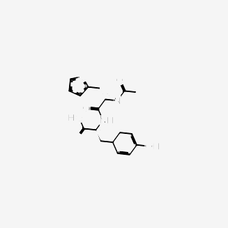 CC(=O)N[C@@H](Cc1ccco1)C(=O)N[C@@H](CC1C=CC(O)=CC1)C(=O)O